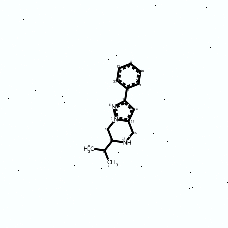 CC(C)C1Cn2nc(-c3ccccc3)cc2CN1